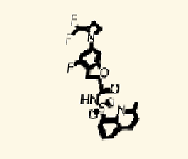 Cc1ccc2cccc(S(=O)(=O)NC(=O)c3cc4c(F)cc(N5CCC5C(F)F)cc4o3)c2n1